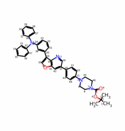 CC(C)(C)OC(=O)N1CCN(c2ccc(-c3cnc4c(-c5cccc(N(c6ccccc6)c6ccccc6)c5)coc4c3)cc2)CC1